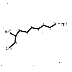 CCCCCCCCCCCCCC(CCl)C(C)=O